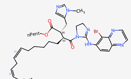 CCCCC/C=C\C/C=C\CCCCC[C@H](C(=O)N1CCN=C1Nc1ccc2nccnc2c1Br)[C@@H](Cc1cncn1C)C(=O)OCCCCC